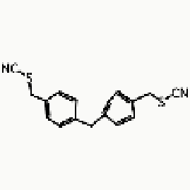 N#CSCc1ccc(Cc2ccc(CSC#N)cc2)cc1